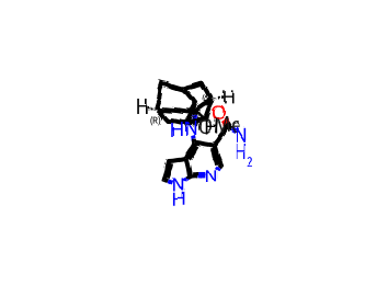 CO[C@]12CC3C[C@H](C1)[C@@H](Nc1c(C(N)=O)cnc4[nH]ccc14)[C@@H](C3)C2